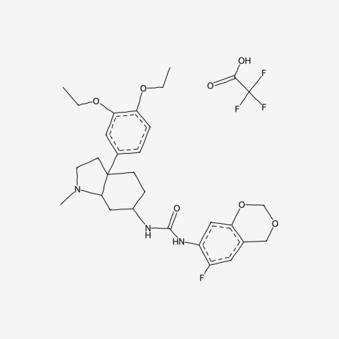 CCOc1ccc(C23CCC(NC(=O)Nc4cc5c(cc4F)COCO5)CC2N(C)CC3)cc1OCC.O=C(O)C(F)(F)F